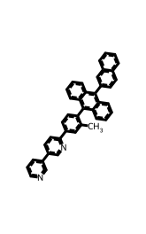 Cc1cc(-c2ccc(-c3cccnc3)cn2)ccc1-c1c2ccccc2c(-c2ccc3ccccc3c2)c2ccccc12